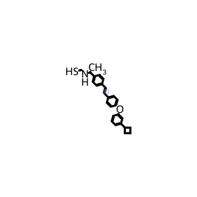 CC(NCS)c1ccc(/C=C/c2ccc(Oc3cccc(C4CCC4)c3)cc2)cc1